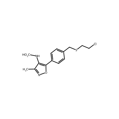 Cc1noc(-c2ccc(CSCCCl)cc2)c1NC(=O)O